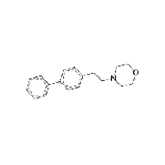 [c]1cccc(-c2ccc(CCN3CCOCC3)cc2)c1